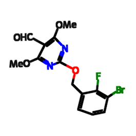 COc1nc(OCc2cccc(Br)c2F)nc(OC)c1C=O